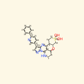 O=C1CCNc2c1c(C1CCS(O)(O)CC1)nc1c(-c3ccc(-c4ccccc4)nc3)cnn21